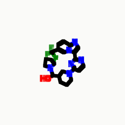 OC(C1CCCN(c2ccnc(-c3cnc4ccc(C(F)(F)F)cn34)n2)C1)N1CCCC1